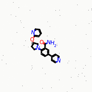 NC(=O)c1cc(-c2ccncc2)ccc1N1CC[C@@H](Oc2ccccn2)C1